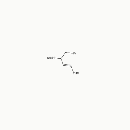 CC(=O)NC(C=CC=O)CC(C)C